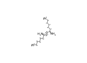 CC(C)CCCCCC(N)SSC(N)CCCCCC(C)C